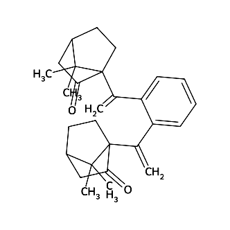 C=C(c1ccccc1C(=C)C12CCC(CC1=O)C2(C)C)C12CCC(CC1=O)C2(C)C